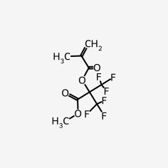 C=C(C)C(=O)OC(C(=O)OC)(C(F)(F)F)C(F)(F)F